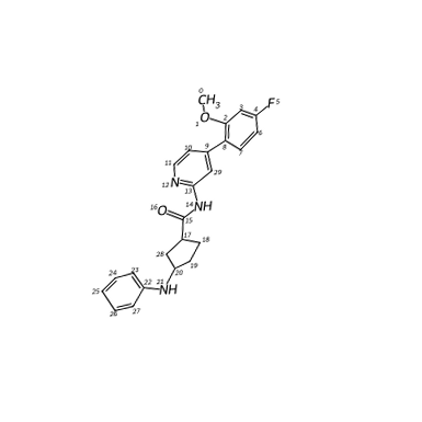 COc1cc(F)ccc1-c1ccnc(NC(=O)C2CCC(Nc3ccccc3)C2)c1